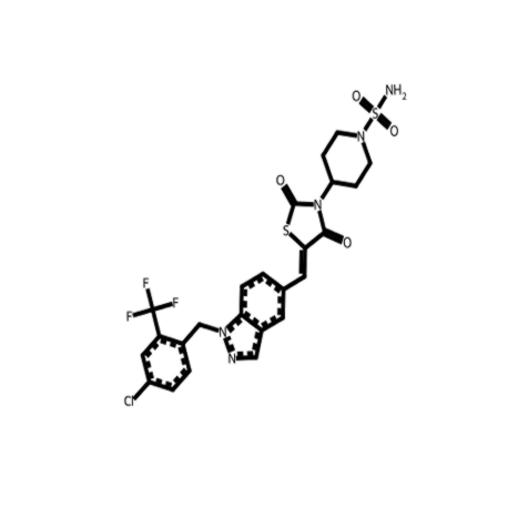 NS(=O)(=O)N1CCC(N2C(=O)S/C(=C\c3ccc4c(cnn4Cc4ccc(Cl)cc4C(F)(F)F)c3)C2=O)CC1